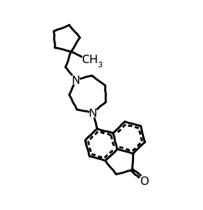 CC1(CN2CCCN(c3ccc4c5c(cccc35)C(=O)C4)CC2)CCCC1